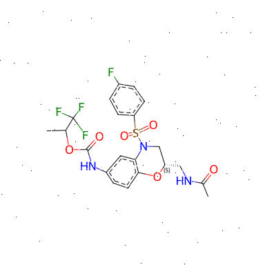 CC(=O)NC[C@H]1CN(S(=O)(=O)c2ccc(F)cc2)c2cc(NC(=O)OC(C)C(F)(F)F)ccc2O1